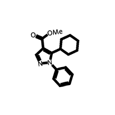 COC(=O)c1cnn(-c2ccccc2)c1C1CCCCC1